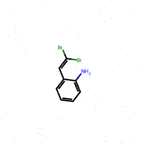 Nc1ccccc1C=C(Br)Br